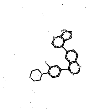 Fc1cc(-c2ncnc3ccc(-c4ccnc5[nH]ccc45)cc23)ccc1N1CCOCC1